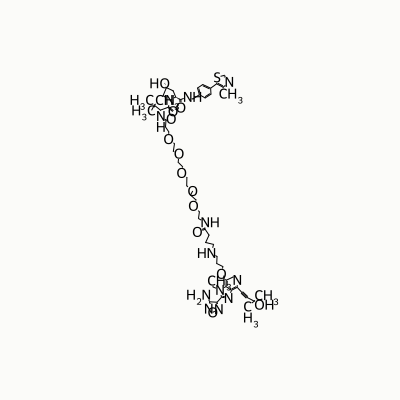 CCn1c(-c2nonc2N)nc2c(C#CC(C)(C)O)ncc(OCCCNCCCC(=O)NCCOCCOCCOCCOCCOCCC(=O)NC(C(=O)N3C[C@H](O)C[C@H]3C(=O)NCc3ccc(-c4scnc4C)cc3)C(C)(C)C)c21